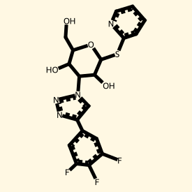 OCC1OC(Sc2ccccn2)C(O)C(n2cc(-c3cc(F)c(F)c(F)c3)nn2)C1O